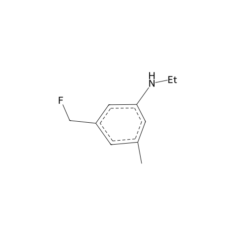 CCNc1cc(C)cc(CF)c1